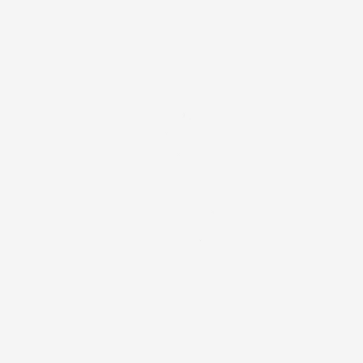 Cc1ccc(-c2cccc3cc4oc5ccc6ccccc6c5c4cc23)cc1